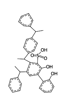 CC(c1ccccc1)c1ccc(C(C)c2c(C(C)c3ccccc3)cc(-c3ccccc3O)c(O)c2S(=O)(=O)O)cc1